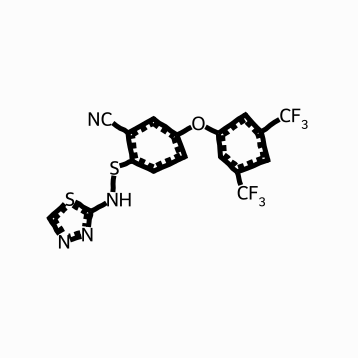 N#Cc1cc(Oc2cc(C(F)(F)F)cc(C(F)(F)F)c2)ccc1SNc1nncs1